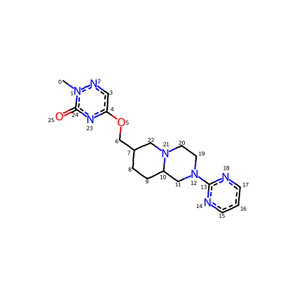 Cn1ncc(OCC2CCC3CN(c4ncccn4)CCN3C2)nc1=O